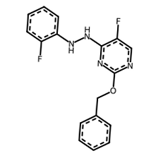 Fc1ccccc1NNc1nc(OCc2ccccc2)ncc1F